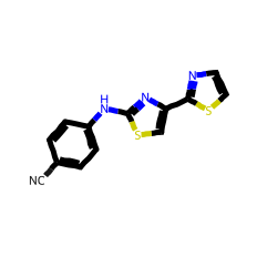 N#Cc1ccc(Nc2nc(-c3nccs3)cs2)cc1